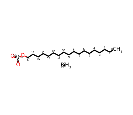 CCCCCCCCCCCCCCCCCC[O][V](=[O])=[O].[BiH3]